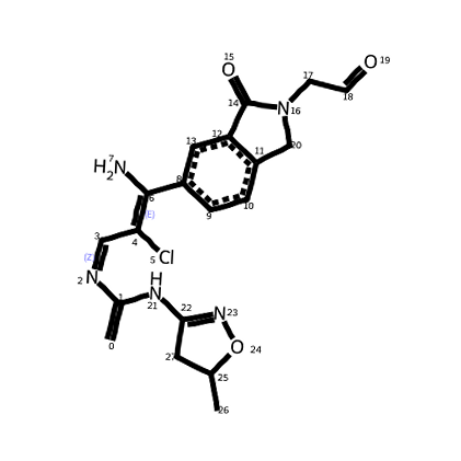 C=C(/N=C\C(Cl)=C(/N)c1ccc2c(c1)C(=O)N(CC=O)C2)NC1=NOC(C)C1